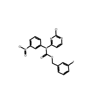 O=C(OCc1cccc(F)c1)N(c1cccc([N+](=O)[O-])c1)c1ccnc(Cl)n1